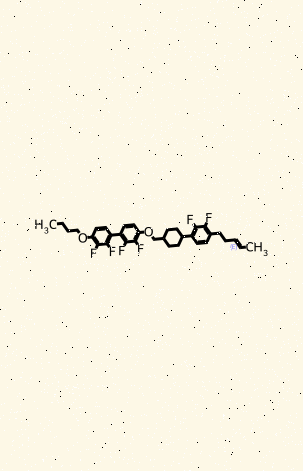 C/C=C/CCc1ccc(C2CCC(COc3ccc(-c4ccc(OCCCC)c(F)c4F)c(F)c3F)CC2)c(F)c1F